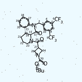 CN(Cc1cc(C(F)(F)F)cc(C(F)(F)F)c1)C(=O)C1[C@@H](c2ccccc2)CCCN1C(=O)C1CN(C(=O)OC(C)(C)C)C1